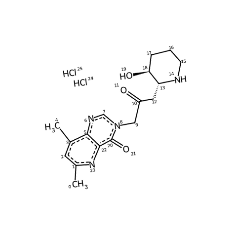 Cc1cc(C)c2ncn(CC(=O)C[C@H]3NCCC[C@@H]3O)c(=O)c2n1.Cl.Cl